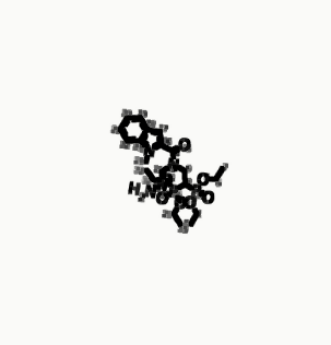 CCOP(=O)(OCC)C(CN(C=NN)C(=O)c1cc2ccccc2n1C)P(=O)(OCC)OCC